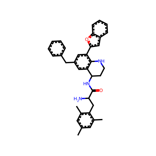 Cc1cc(C)c(CC(N)C(=O)NC2CCNc3c(-c4cc5ccccc5o4)cc(Cc4ccccc4)cc32)c(C)c1